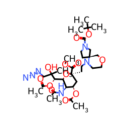 COC(=O)[C@@]1(CCN2CCOC[C@]23CCN(C(=O)OC(C)(C)C)C3)C[C@H](OC(C)=O)[C@@H](NC(C)=O)[C@H]([C@H](OC(C)=O)C(C)(O)CN=[N+]=[N-])O1